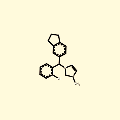 CN1C=CN(C(c2ccc3c(c2)CCC3)c2ccccc2Cl)C1